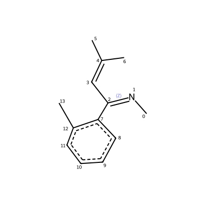 C/N=C(/C=C(C)C)c1ccccc1C